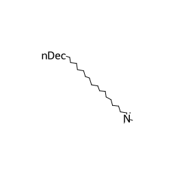 CCCCCCCCCCCCCCCCCCCCCCCCCC[CH]N(C)C